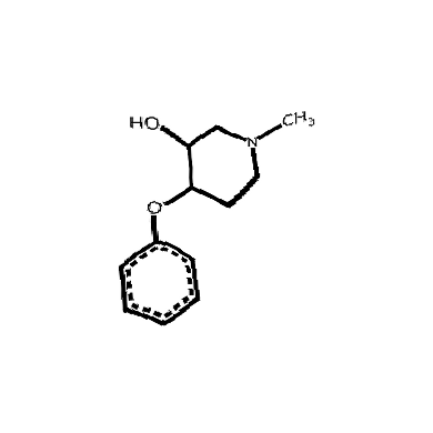 CN1CCC(Oc2ccccc2)C(O)C1